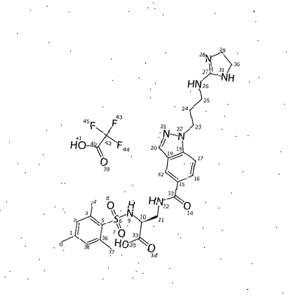 Cc1cc(C)c(S(=O)(=O)N[C@@H](CNC(=O)c2ccc3c(cnn3CCCNC3=NCCN3)c2)C(=O)O)c(C)c1.O=C(O)C(F)(F)F